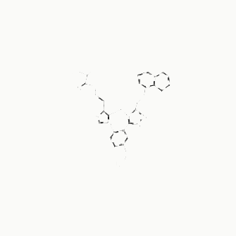 COc1ccc2c(c1)-c1nnc(COc3cccc4ccccc34)n1Cc1c(/C=N/OC(=N)C(C)C)ncn1-2